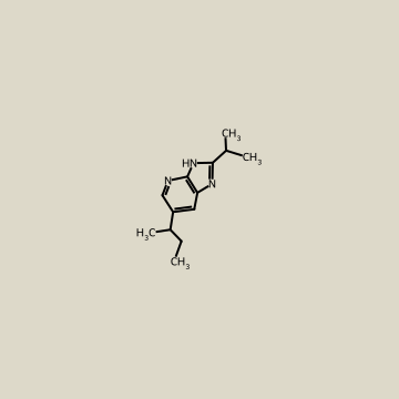 CCC(C)c1cnc2[nH]c(C(C)C)nc2c1